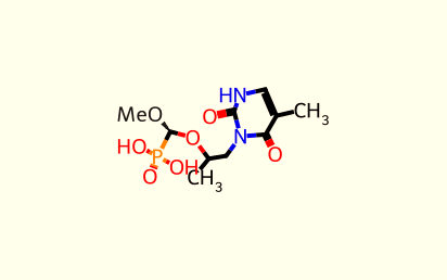 CO[C@@H](OC(C)Cn1c(=O)[nH]cc(C)c1=O)P(=O)(O)O